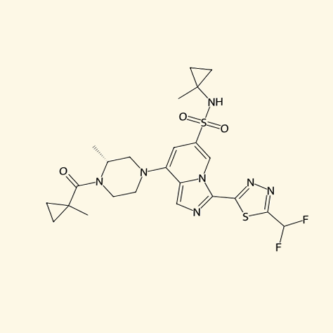 C[C@@H]1CN(c2cc(S(=O)(=O)NC3(C)CC3)cn3c(-c4nnc(C(F)F)s4)ncc23)CCN1C(=O)C1(C)CC1